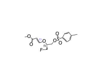 COC(=O)/C=C/O[C@H](CF)COS(=O)(=O)c1ccc(C)cc1